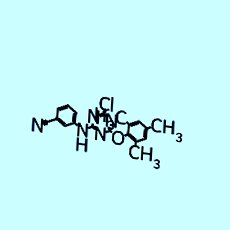 Cc1cc(C)c(Oc2nc(Cl)nc(Nc3cccc(C#N)c3)n2)c(C)c1